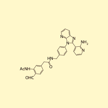 CC(=O)Nc1cc(CC(=O)NCc2ccc(-n3c(-c4cccnc4N)nc4cccnc43)cc2)ccc1C=O